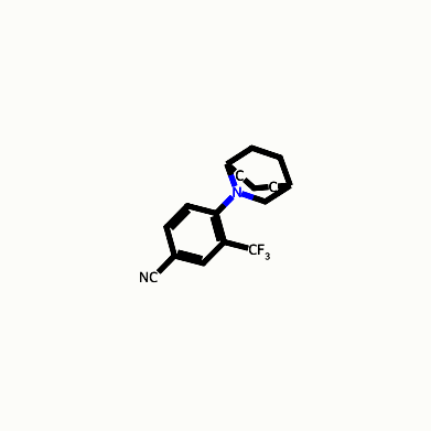 N#Cc1ccc(N2CC3CCCC2CC3)c(C(F)(F)F)c1